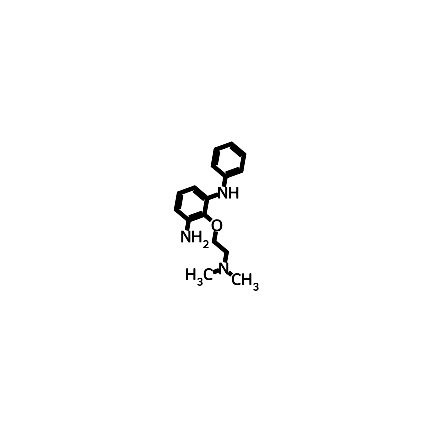 CN(C)CCOc1c(N)cccc1Nc1ccccc1